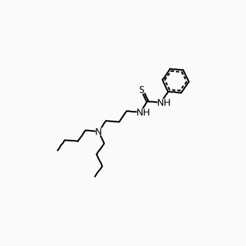 CCCCN(CCCC)CCCNC(=S)Nc1ccccc1